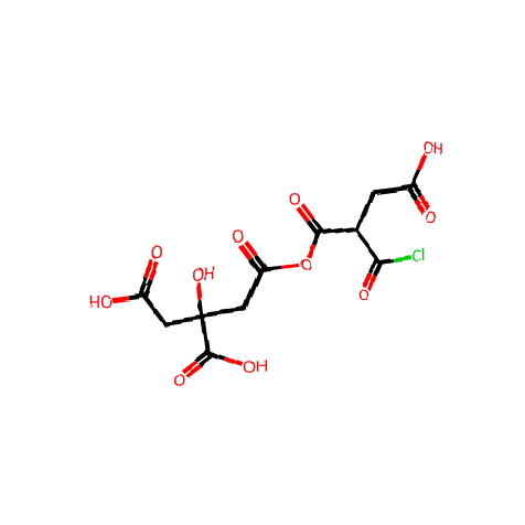 O=C(O)CC(C(=O)Cl)C(=O)OC(=O)CC(O)(CC(=O)O)C(=O)O